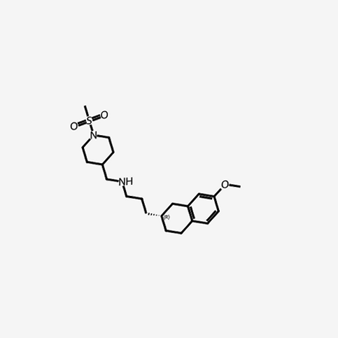 COc1ccc2c(c1)C[C@@H](CCCNCC1CCN(S(C)(=O)=O)CC1)CC2